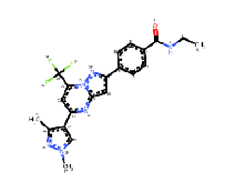 CCNC(=O)c1ccc(-c2cc3nc(-c4cn(C)nc4C)cc(C(F)(F)F)n3n2)cc1